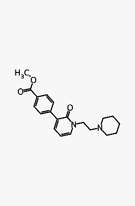 COC(=O)c1ccc(-c2cccn(CCN3CCCCC3)c2=O)cc1